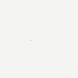 C=CC1CCC(C2CCC(CCc3ccc(C4CCC(CF)CC4)c(F)c3)CC2)CC1